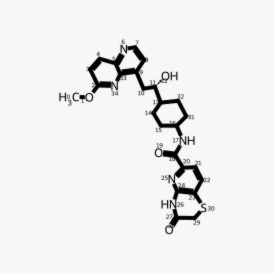 COc1ccc2nccc(C[C@H](O)C3CCC(NC(=O)c4ccc5c(n4)NC(=O)CS5)CC3)c2n1